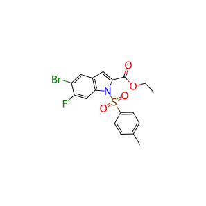 CCOC(=O)c1cc2cc(Br)c(F)cc2n1S(=O)(=O)c1ccc(C)cc1